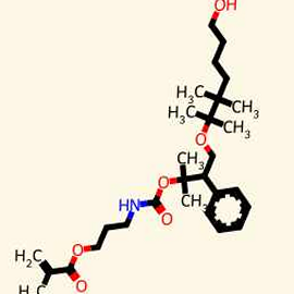 C=C(C)C(=O)OCCCNC(=O)OC(C)(C)C(COC(C)(C)C(C)(C)CCCCO)c1ccccc1